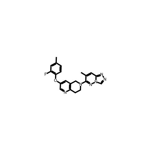 Cc1ccc(Oc2cnc3c(c2)CN(c2nn4cnnc4cc2C)CC3)c(F)c1